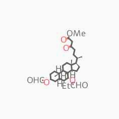 CC[C@H]1[C@@H](OC=O)[C@@H]2[C@H](CC[C@]3(C)[C@@H]([C@H](C)CCC(=O)CC(=O)OC)CC[C@@H]23)[C@@]2(C)CC[C@@H](OC=O)C[C@@H]12